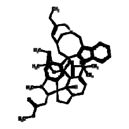 CCC1=CC2C[N@](C1)Cc1c([nH]c3ccccc13)[C@@](C(=O)OC)(c1cc3c(cc1OC)N(C)[C@@H](CC(=O)OC)[C@]31CCN3CC=C(CC)C([C@H](O)OC(C)=O)[C@H]31)C2